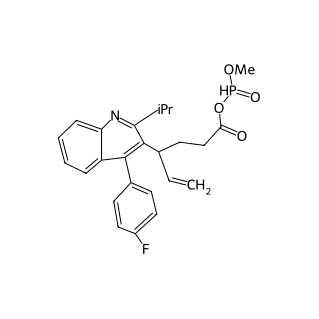 C=CC(CCC(=O)O[PH](=O)OC)c1c(C(C)C)nc2ccccc2c1-c1ccc(F)cc1